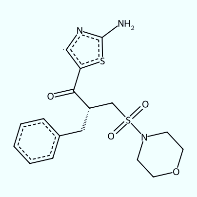 Nc1n[c]c(C(=O)[C@@H](Cc2ccccc2)CS(=O)(=O)N2CCOCC2)s1